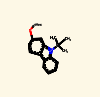 CCCCCCOc1ccc2c3ccccc3n([Si](C)(C)C)c2c1